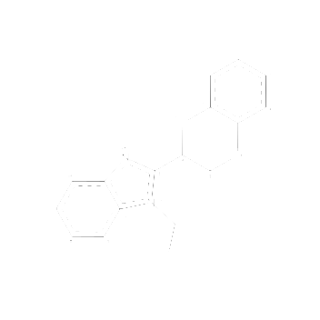 CCn1c(C2COc3ccccc3O2)nc2ccccc21